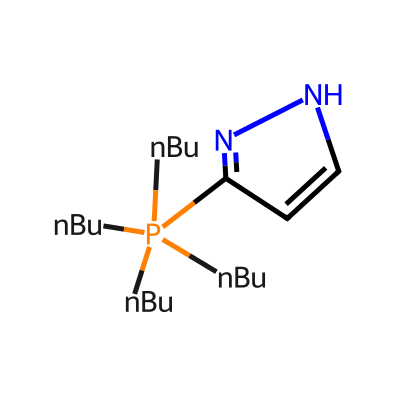 CCCCP(CCCC)(CCCC)(CCCC)c1cc[nH]n1